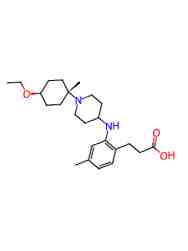 CCO[C@H]1CC[C@](C)(N2CCC(Nc3cc(C)ccc3CCC(=O)O)CC2)CC1